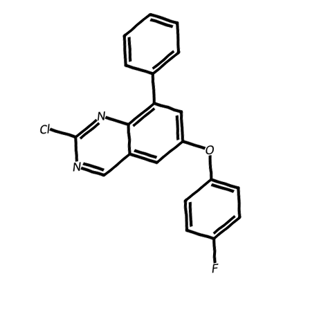 Fc1ccc(Oc2cc(-c3ccccc3)c3nc(Cl)ncc3c2)cc1